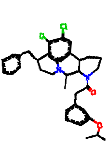 CC(C)Oc1cccc(CC(=O)N2CCCC(c3ccc(Cl)c(Cl)c3)C2C(C)N2CCC(Cc3ccccc3)CC2)c1